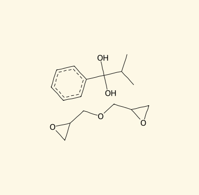 C(OCC1CO1)C1CO1.CC(C)C(O)(O)c1ccccc1